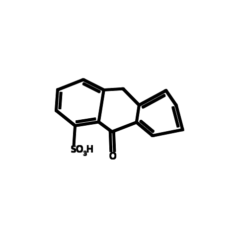 O=C1c2ccccc2Cc2cccc(S(=O)(=O)O)c21